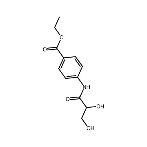 CCOC(=O)c1ccc(NC(=O)C(O)CO)cc1